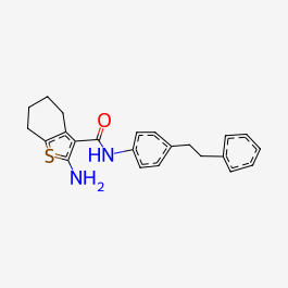 Nc1sc2c(c1C(=O)Nc1ccc(CCc3ccccc3)cc1)CCCC2